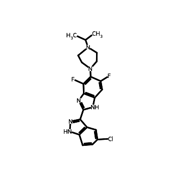 CC(C)N1CCN(c2c(F)cc3[nH]c(-c4n[nH]c5ccc(Cl)cc45)nc3c2F)CC1